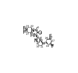 C[C@@H](C(=O)Nc1cn2c(n1)CC[C@H]2c1cc(F)cc(F)c1)N1CCC(F)(F)CC1